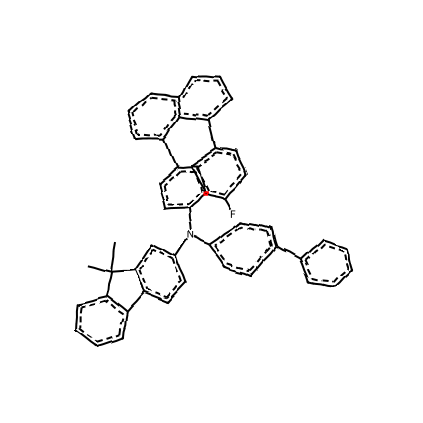 CC1(C)c2ccccc2-c2ccc(N(c3ccc(-c4ccccc4)cc3)c3ccc(-c4cccc5cccc(-c6ccc(F)cc6)c45)cc3)cc21